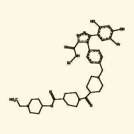 CCNC(=O)c1nnc(-c2cc(C(C)C)c(O)cc2O)n1-c1ccc(CN2CCC(C(=O)N3CCC(C(=O)OC4CCN(CC(=O)O)CC4)CC3)CC2)cc1